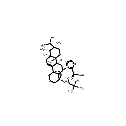 CNC(=O)c1ncnn1[C@@H]1C[C@@]23COC[C@](C)([C@@H]2CC[C@H]2C3=CC[C@@]3(C)[C@H](C(=O)O)[C@@](C)([C@H](C)C(C)C)CC[C@]23C)[C@H]1OC[C@@](C)(N)C(C)C